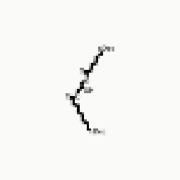 CCCCCCCCCCCCCCCCCC(=O)OCC(O)COC(=O)CCCCCCCCCCCCCCC